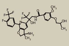 COc1cc(C(=O)NCC(O)(c2cc3c(c(-c4ccc(F)c(C(F)(F)F)c4)n2)OCC3(C)N)C(F)(F)F)ccc1OCC(C)O